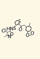 CC1=NOC(NSc2ccsc2C(=O)Cc2cc3c(cc2C)OCO3)C1Cl